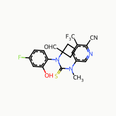 CN(C(=S)N(c1ccc(F)cc1O)C1(C=O)CCC1)c1cnc(C#N)c(C(F)(F)F)c1